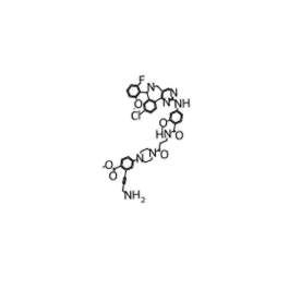 COC(=O)c1ccc(N2CCN(C(=O)CCNC(=O)c3ccc(Nc4ncc5c(n4)-c4ccc(Cl)cc4C(c4c(F)cccc4OC)=NC5)cc3OC)CC2)cc1C#CCN